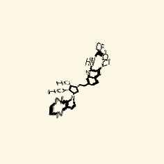 O=C(Nc1nc2cc(CC[C@H]3C[C@@H](n4ccc5nccnc54)[C@H](O)[C@@H]3O)ccc2cc1Cl)C(F)(F)F